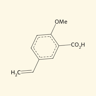 C=Cc1ccc(OC)c(C(=O)O)c1